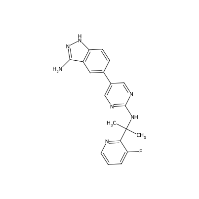 CC(C)(Nc1ncc(-c2ccc3[nH]nc(N)c3c2)cn1)c1ncccc1F